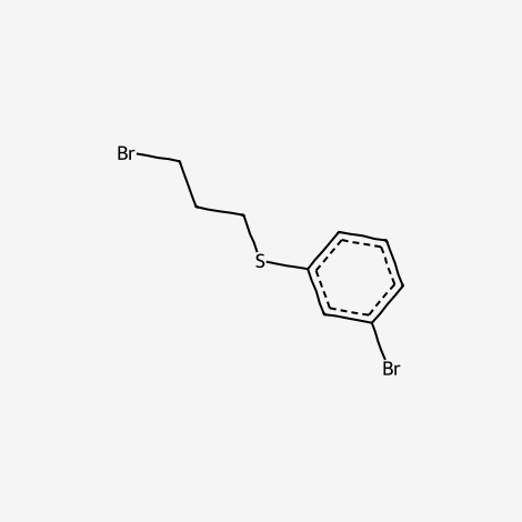 BrCCCSc1cccc(Br)c1